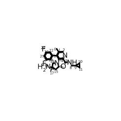 Cc1cnc(C(=O)NCC2CC2)c(N2CC[C@](C)(N)C2)c1-c1cc(F)cc(F)c1